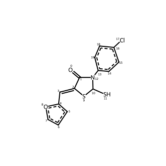 O=C1C(=Cc2ccco2)SC(S)N1c1ccc(Cl)cc1